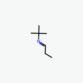 CCC=NC(C)(C)C